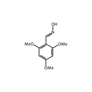 COc1cc(OC)c(C=NO)c(OC)c1